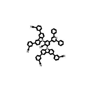 N#Cc1cccc(-c2ccc3c(c2)c2cc(-c4cccc(C#N)c4)ccc2n3-c2cc(-c3cc(-c4ccccc4)nc(-c4ccccc4)c3)cc(-n3c4ccc(-c5cccc(C#N)c5)cc4c4cc(-c5cccc(C#N)c5)ccc43)c2C#N)c1